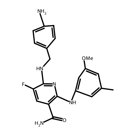 COc1cc(C)cc(Nc2nc(NCc3ccc(N)cc3)c(F)cc2C(N)=O)c1